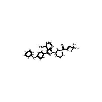 Nc1ncnc2c1c(-c1ccc(Oc3ccccc3)cc1)nn2[C@@H]1CCCN(C(=O)/C=C/C(F)(F)F)C1